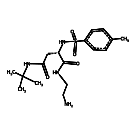 Cc1ccc(S(=O)(=O)N[C@@H](CC(=O)NC(C)(C)C)C(=O)NCCN)cc1